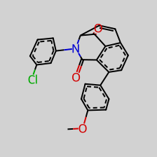 COc1ccc(-c2ccc3c4c2C(=O)N(c2cccc(Cl)c2)C(C=C3)C4=O)cc1